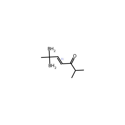 BC(B)(C)/C=C/C(=O)C(C)C